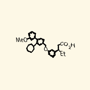 CC[C@H](CC(=O)O)c1cccc(OCc2ccc(-c3cccc(OC)c3)c(C3CCCCCC3)c2)c1